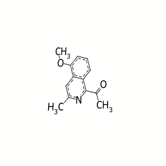 COc1cccc2c(C(C)=O)nc(C)cc12